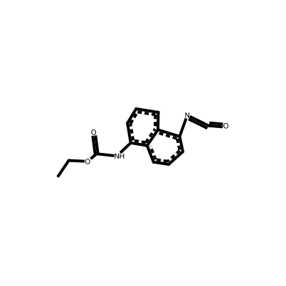 CCOC(=O)Nc1cccc2c(N=C=O)cccc12